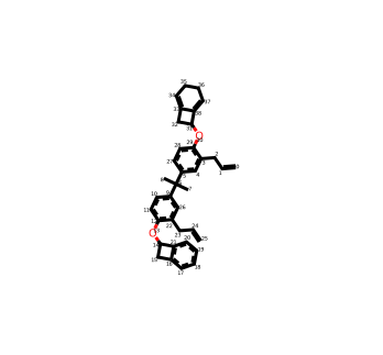 C=CCc1cc(C(C)(C)c2ccc(OC3Cc4ccccc43)c(CC=C)c2)ccc1OC1CC2=CCCC=C21